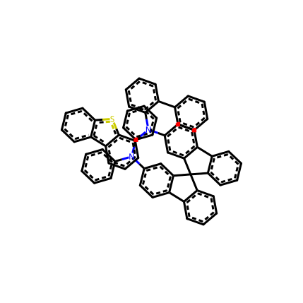 c1ccc(-c2ccccc2N(c2ccc3c(c2)C2(c4ccccc4-c4ccc(N(c5ccccc5)c5ccccc5)cc42)c2ccccc2-3)c2cccc3c2sc2ccccc23)cc1